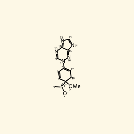 COC1([S+](C)[O-])C=CC(n2cnc3ncnc-3n2)=CC1